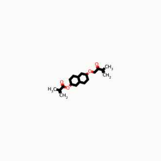 C=C(C)C(=O)COC1CCC2CC(OC(=O)C(=C)C)CCC2C1